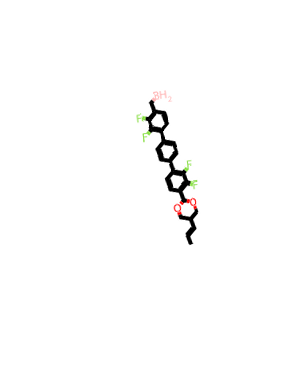 BCc1ccc(-c2ccc(-c3ccc(C4OCC(/C=C/C)CO4)c(F)c3F)cc2)c(F)c1F